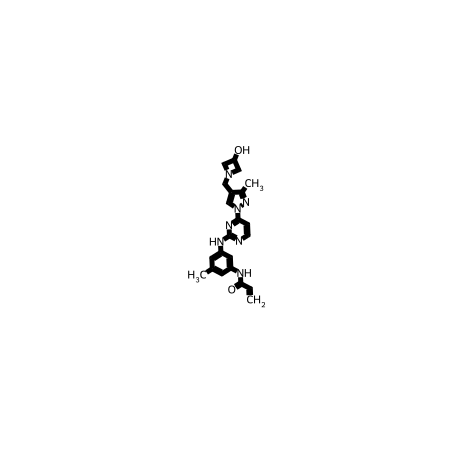 C=CC(=O)Nc1cc(C)cc(Nc2nccc(-n3cc(CN4CC(O)C4)c(C)n3)n2)c1